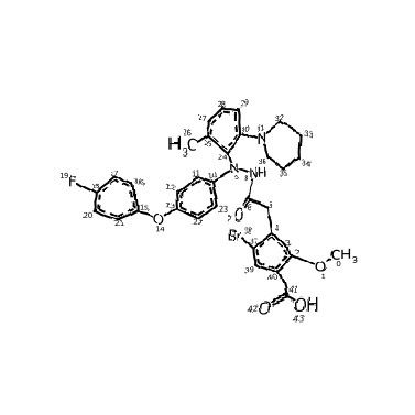 COc1cc(CC(=O)NN(c2ccc(Oc3ccc(F)cc3)cc2)c2c(C)cccc2N2CCCCC2)c(Br)cc1C(=O)O